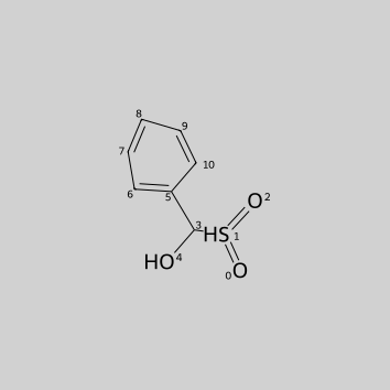 O=[SH](=O)C(O)c1ccccc1